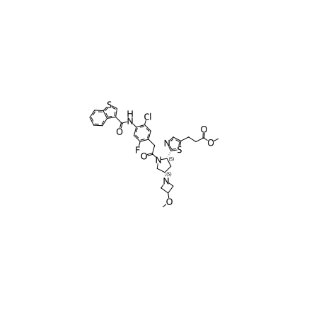 COC(=O)CCc1cnc([C@@H]2C[C@H](N3CC(OC)C3)CN2C(=O)Cc2cc(Cl)c(NC(=O)c3csc4ccccc34)cc2F)s1